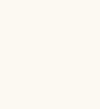 CC(C)(C)OC(=O)N(Cl)CCCCCCN